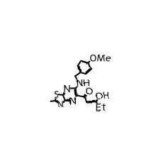 CCC(O)=CC(=O)c1nc2nc(C)sc2nc1NCc1ccc(OC)cc1